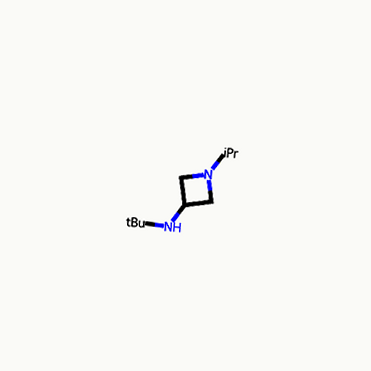 CC(C)N1CC(NC(C)(C)C)C1